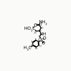 Cc1ccc(S(=O)(=O)SNC(CC(N)=O)CC(=O)O)cc1